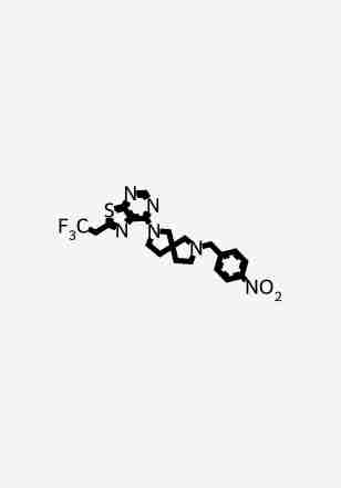 O=[N+]([O-])c1ccc(CN2CCC3(CCN(c4ncnc5sc(CC(F)(F)F)nc45)C3)C2)cc1